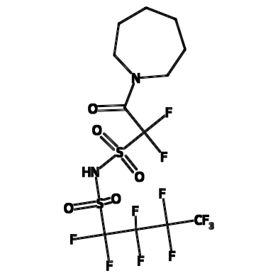 O=C(N1CCCCCC1)C(F)(F)S(=O)(=O)NS(=O)(=O)C(F)(F)C(F)(F)C(F)(F)C(F)(F)F